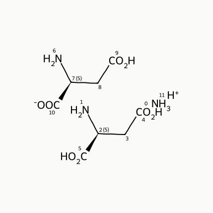 N.N[C@@H](CC(=O)O)C(=O)O.N[C@@H](CC(=O)O)C(=O)[O-].[H+]